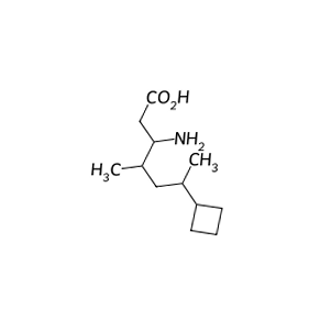 CC(CC(C)C1CCC1)C(N)CC(=O)O